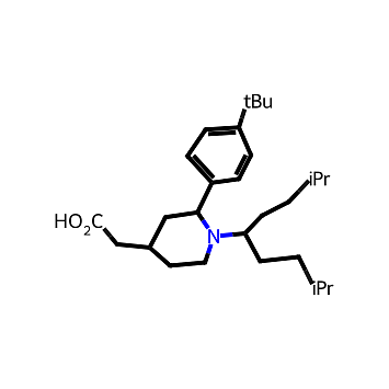 CC(C)CCC(CCC(C)C)N1CCC(CC(=O)O)CC1c1ccc(C(C)(C)C)cc1